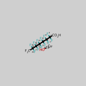 CCO.O=C(O)C(F)(F)C(F)(F)C(F)(F)C(F)(F)C(F)(F)C(F)(F)C(F)(F)F.[Cu]